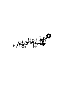 CC(C)(C)OC(=O)N1CC(NCC(=O)NNC(=O)[C@@H]2CC3(CC3)[C@@H]3CN2C(=O)N3OCc2ccccc2)C1